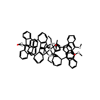 CC[SiH]1[C]2(C(C)=CC3=C2C=CC=CC3c2c3ccccc3c(OC)c3ccccc23)[Zr]2([Cl])([Cl])([C]13C(C)=CC1=C3C=CC=CC1c1c3ccccc3c(OC)c3ccccc13)[C]1(C(C)=CC3=C1C=CC=CC3c1c3ccccc3c(OC)c3ccccc13)[SiH](CC)[C]21C(C)=CC2=C1C=CC=CC2c1c2ccccc2c(OC)c2ccccc12